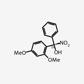 COc1ccc([C@@](O)(c2ccccc2)[N+](=O)[O-])c(OC)c1